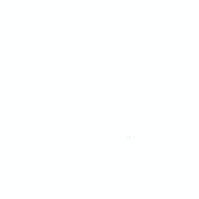 O=C(Cc1ccncc1)c1ccc2ccccc2c1